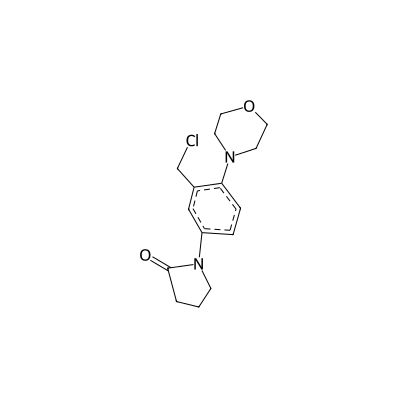 O=C1CCCN1c1ccc(N2CCOCC2)c(CCl)c1